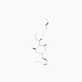 CC/C(=N\OC/C=C/Cl)C1C(=O)CC(c2cc(C)nn2C)CC1=O